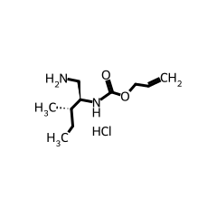 C=CCOC(=O)N[C@H](CN)[C@@H](C)CC.Cl